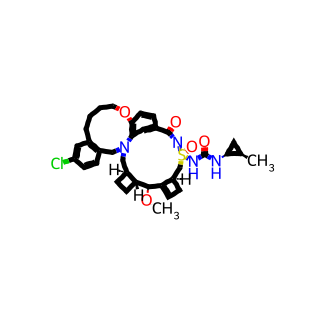 CO[C@H]1C2=CC[C@@H]2CS(=O)(NC(=O)N[C@@H]2C[C@H]2C)=NC(=O)c2ccc3c(c2)N(Cc2ccc(Cl)cc2CCCCO3)C[C@@H]2CC[C@H]21